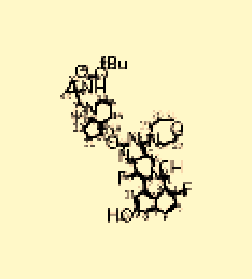 C#Cc1c(F)ccc2cc(O)cc(-c3ncc4c(N5CCCOCC5)nc(OC[C@]56CCC[C@H]5N(CC5(NC(=O)OC(C)(C)C)CC5)CCC6)nc4c3F)c12